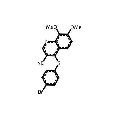 COc1ccc2c(Sc3ccc(Br)cc3)c(C#N)cnc2c1OC